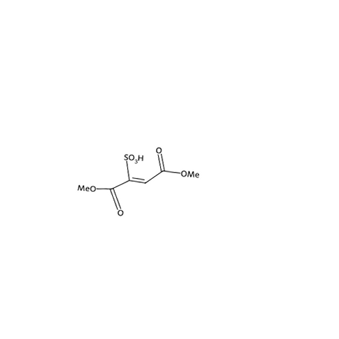 COC(=O)/C=C(/C(=O)OC)S(=O)(=O)O